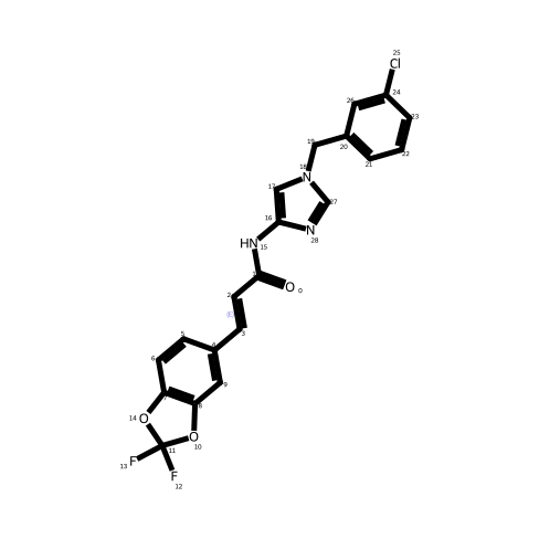 O=C(/C=C/c1ccc2c(c1)OC(F)(F)O2)Nc1cn(Cc2cccc(Cl)c2)cn1